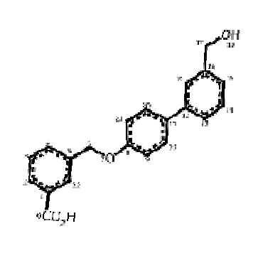 O=C(O)c1cccc(COc2ccc(-c3cccc(CO)c3)cc2)c1